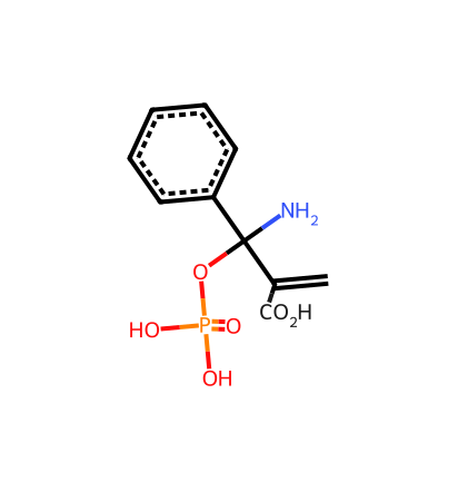 C=C(C(=O)O)C(N)(OP(=O)(O)O)c1ccccc1